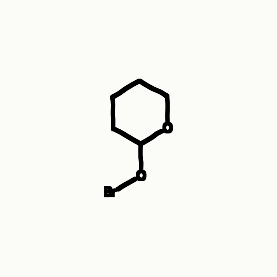 BrOC1CCCCO1